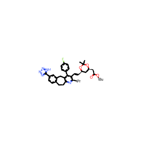 CC(C)c1nc2c(c(-c3ccc(F)cc3)c1/C=C/[C@@H]1C[C@H](CC(=O)OC(C)(C)C)OC(C)(C)O1)Cc1cc(-c3nnn[nH]3)ccc1CC2